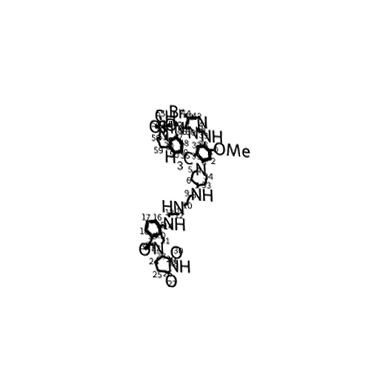 COc1cc(N2CCC(NCCNCCNc3cccc4c3CN(C3CCC(=O)NC3=O)C4=O)CC2)c(C)cc1Nc1ncc(Br)c(Nc2cccc3c2N(S(C)(=O)=O)CC3)n1